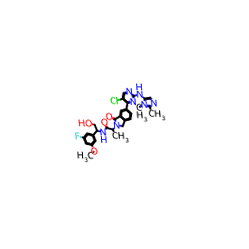 COc1cc(F)cc(C(CO)NC(=O)C(C)N2Cc3ccc(-c4nc(Nc5cnc(C)n5C)ncc4Cl)cc3C2=O)c1